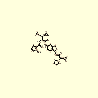 CC(C)n1nccc1C(=O)N[C@H](C(=O)Nc1ccc2c(c1)CC[C@H]2NC(=O)C(C1CC1)N1CCCC1)C(C1CC1)C1CC1